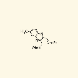 CCCSCc1nc2ccc(C)cc2nc1CSC